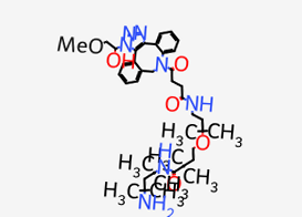 COCC(O)n1nnc2c1-c1ccccc1CN(C(=O)CCC(=O)NCCC(C)(C)OCCC(C)(C)C(=O)NC(C)(C)CC(C)(C)N)c1ccccc1-2